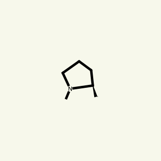 [CH2][C@@H]1CCCN1C